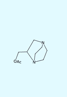 CC(=O)OCC1CN2CCN1CC2